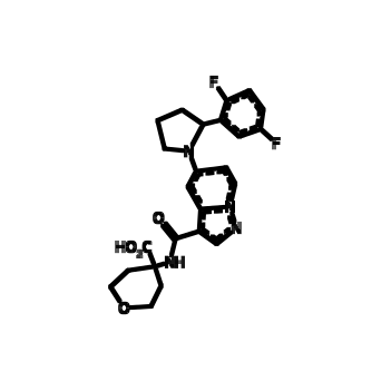 O=C(NC1(C(=O)O)CCOCC1)c1cnn2ccc(N3CCCC3c3cc(F)ccc3F)cc12